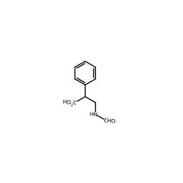 O=[C]NCC(C(=O)O)c1ccccc1